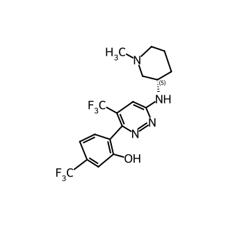 CN1CCC[C@H](Nc2cc(C(F)(F)F)c(-c3ccc(C(F)(F)F)cc3O)nn2)C1